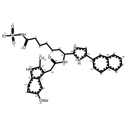 CCS(=O)(=O)NC(=O)CCCCCC(NC(=O)Cc1c(C)[nH]c2ccc(OC)cc12)c1ncc(-c2ccc3ccccc3c2)[nH]1